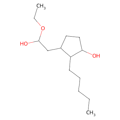 CCCCCC1C(O)CCC1CC(O)OCC